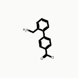 NCc1ccccc1-c1ccc(C(=O)Cl)cc1